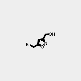 OCc1cc(CBr)on1